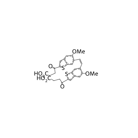 COc1cc2cc(C(=O)CCC(=O)O)sc2cc1/C=C\c1cc2sc(C(=O)CCC(=O)O)cc2cc1OC